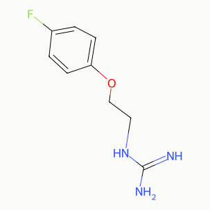 N=C(N)NCCOc1ccc(F)cc1